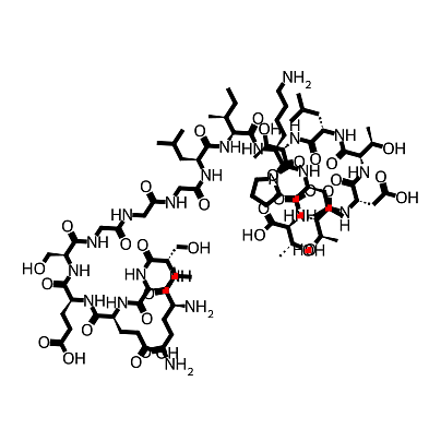 CC[C@H](C)[C@H](NC(=O)[C@H](CC(C)C)NC(=O)CNC(=O)CNC(=O)CNC(=O)[C@H](CO)NC(=O)[C@H](CCC(=O)O)NC(=O)[C@H](CCC(=O)O)NC(=O)[C@H](CC(C)C)NC(=O)[C@H](CO)NC(=O)[C@@H](N)CCC(N)=O)C(=O)N[C@@H](CCCCN)C(=O)N1CCC[C@H]1C(=O)N[C@H](C(=O)N[C@@H](CC(=O)O)C(=O)N[C@H](C(=O)N[C@@H](CC(C)C)C(=O)N[C@H](C(=O)N[C@@H](CC(C)C)C(=O)N[C@H](C(=O)O)[C@@H](C)O)[C@@H](C)O)[C@@H](C)O)[C@@H](C)O